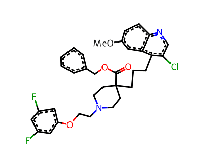 COc1ccc2ncc(Cl)c(CCCC3(C(=O)OCc4ccccc4)CCN(CCOc4cc(F)cc(F)c4)CC3)c2c1